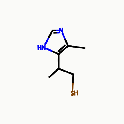 Cc1nc[nH]c1C(C)CS